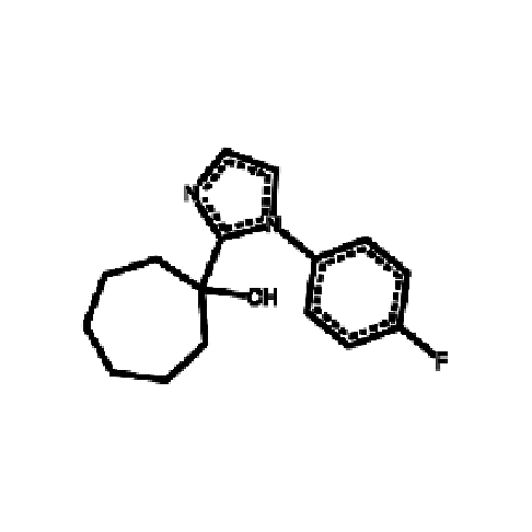 OC1(c2nccn2-c2ccc(F)cc2)CCCCCC1